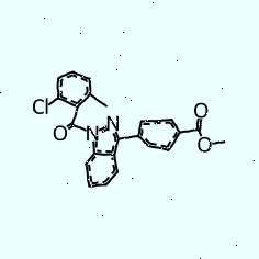 COC(=O)c1ccc(-c2nn(C(=O)c3c(C)cccc3Cl)c3ccccc23)cc1